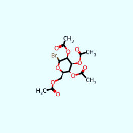 CC(=O)OC[C@H]1OC(Br)[C@@H](OC(C)=O)[C@@H](OC(C)=O)[C@@H]1OC(C)=O